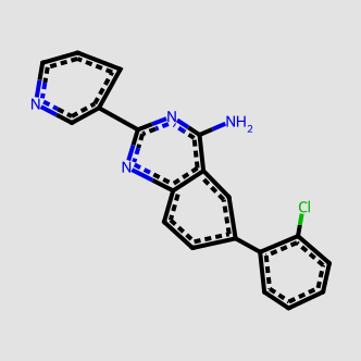 Nc1nc(-c2cccnc2)nc2ccc(-c3ccccc3Cl)cc12